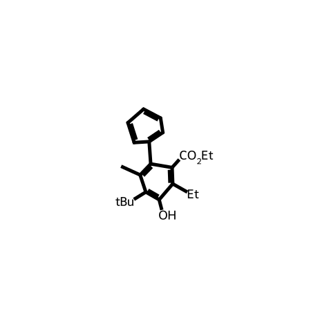 CCOC(=O)c1c(CC)c(O)c(C(C)(C)C)c(C)c1-c1ccccc1